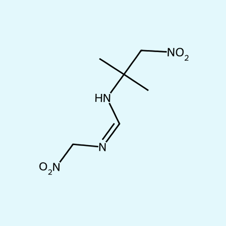 CC(C)(C[N+](=O)[O-])N/C=N\C[N+](=O)[O-]